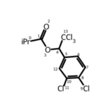 CC(C)C(=O)OC(c1ccc(Cl)c(Cl)c1)C(Cl)(Cl)Cl